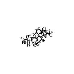 C[C@H](N)C(=O)N[C@H]1CS(=O)(=O)c2cc(F)c(-c3nnc(C(C)(C)C)o3)cc2N(Cc2ccc(Cl)cc2)C1=O